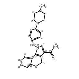 CN1CCN(c2ccc(Nn3nc(C(N)=O)c4c3-c3ncncc3CC4)cc2)CC1